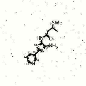 CSC(C)CC(=O)Nc1sc(-c2cccnc2)nc1N